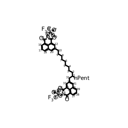 CCCCCC(CCCCCCCCCc1cc2c3c(cccc3c1)C(=O)N(OS(=O)(=O)C(F)(F)F)C2=O)Cc1cc2c3c(cccc3c1)C(=O)N(OS(=O)(=O)C(F)(F)F)C2=O